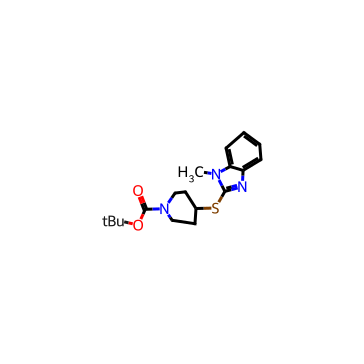 Cn1c(SC2CCN(C(=O)OC(C)(C)C)CC2)nc2ccccc21